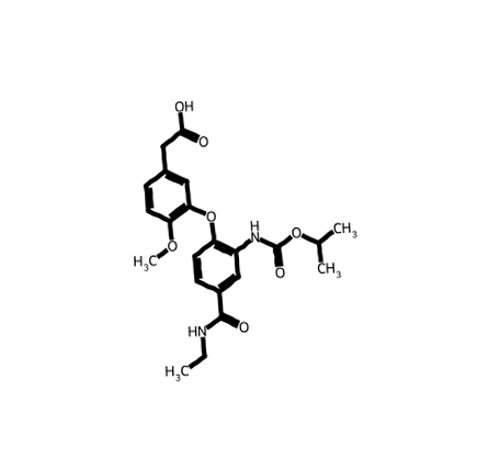 CCNC(=O)c1ccc(Oc2cc(CC(=O)O)ccc2OC)c(NC(=O)OC(C)C)c1